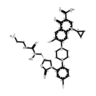 CCCNC(=O)N(S)C[C@@H]1CN(c2cc(F)ccc2N2CCN(c3cc4c(cc3F)c(=O)c(C(=O)O)cn4C3CC3)CC2)C(=O)O1